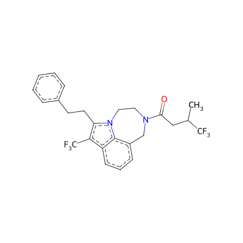 CC(CC(=O)N1CCn2c(CCc3ccccc3)c(C(F)(F)F)c3cccc(c32)C1)C(F)(F)F